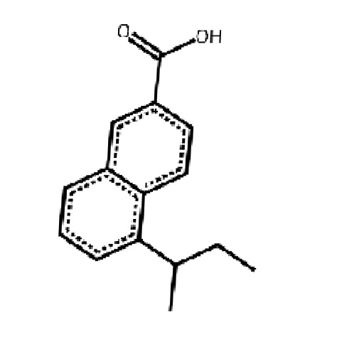 CCC(C)c1cccc2cc(C(=O)O)ccc12